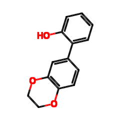 Oc1ccccc1-c1ccc2c(c1)OCCO2